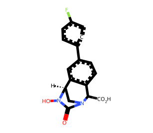 O=C(O)C1c2ccc(-c3ccc(F)cc3)cc2[C@H]2CN1C(=O)N2O